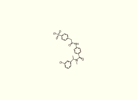 CCS(=O)(=O)c1ccc(CC(=O)Nc2ccc(C(=O)N(C)C(C)c3cccc(Cl)c3)cc2)cc1